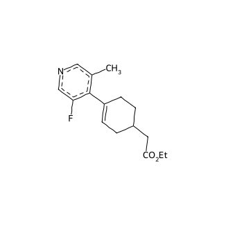 CCOC(=O)CC1CC=C(c2c(C)cncc2F)CC1